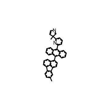 Cc1ccc2c(c1)-c1ccc(-c3c4ccccc4c(-c4cccc(C5(C)C=CN=C5)n4)c4ccccc34)c3cccc-2c13